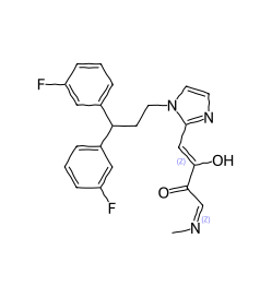 C/N=C\C(=O)/C(O)=C/c1nccn1CCC(c1cccc(F)c1)c1cccc(F)c1